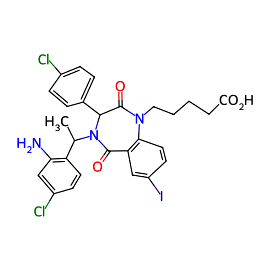 CC(c1ccc(Cl)cc1N)N1C(=O)c2cc(I)ccc2N(CCCCC(=O)O)C(=O)C1c1ccc(Cl)cc1